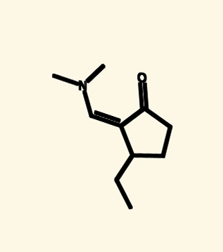 CCC1CCC(=O)/C1=C\N(C)C